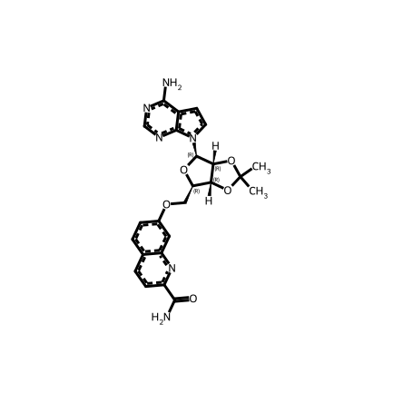 CC1(C)O[C@@H]2[C@H](O1)[C@@H](COc1ccc3ccc(C(N)=O)nc3c1)O[C@H]2n1ccc2c(N)ncnc21